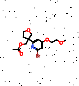 COCCOc1cc(Br)nc(C2(COC(C)=O)CCOC2)c1